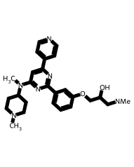 CNCC(O)COc1cccc(-c2nc(-c3ccncc3)cc(N(C)C3CCN(C)CC3)n2)c1